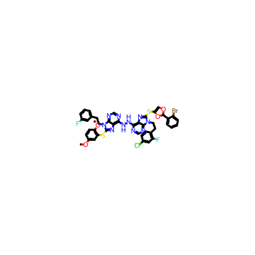 COc1ccc(OC)c(Sc2nc3c(NNc4ncnc5c4nc(SC4=COC(c6ccccc6Br)O4)n5CCc4ccc(Cl)cc4F)ncnc3n2CCc2cccc(F)c2)c1